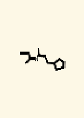 C=C/C(C)=N\C(C)=C/CC1CCCC1